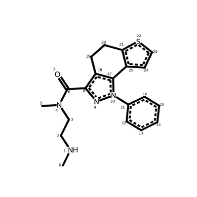 CNCCN(C)C(=O)c1nn(-c2ccccc2)c2c1CCc1sccc1-2